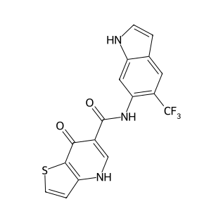 O=C(Nc1cc2[nH]ccc2cc1C(F)(F)F)c1c[nH]c2ccsc2c1=O